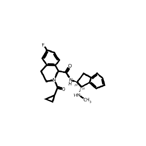 CN[C@H]1c2ccccc2C[C@@H]1NC(=O)C1c2ccc(F)cc2CCN1C(=O)C1CC1